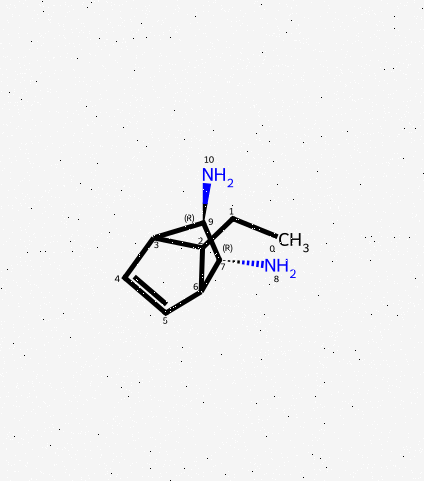 CCC1C2C=CC1[C@@H](N)[C@@H]2N